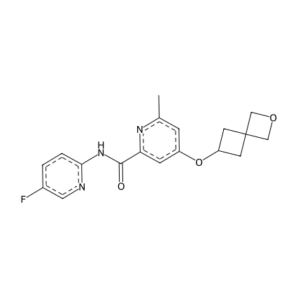 Cc1cc(OC2CC3(COC3)C2)cc(C(=O)Nc2ccc(F)cn2)n1